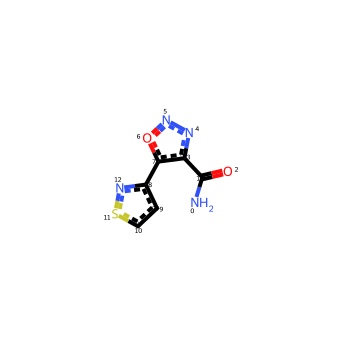 NC(=O)c1nnoc1-c1ccsn1